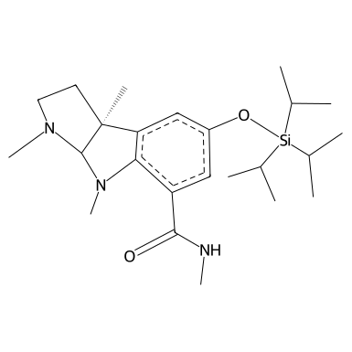 CNC(=O)c1cc(O[Si](C(C)C)(C(C)C)C(C)C)cc2c1N(C)C1N(C)CC[C@@]21C